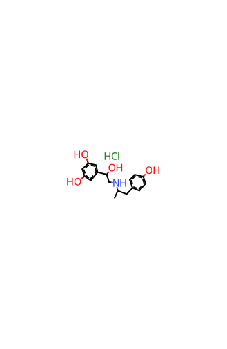 CC(Cc1ccc(O)cc1)NCC(O)c1cc(O)cc(O)c1.Cl